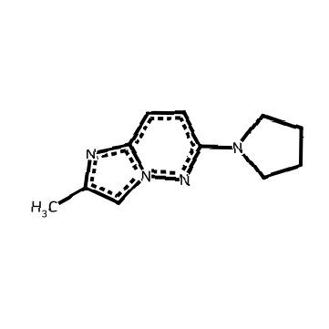 Cc1cn2nc(N3CCCC3)ccc2n1